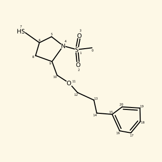 CS(=O)(=O)N1CC(S)CC1COCCCc1ccccc1